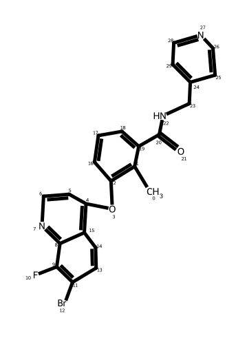 Cc1c(Oc2ccnc3c(F)c(Br)ccc23)cccc1C(=O)NCc1ccncc1